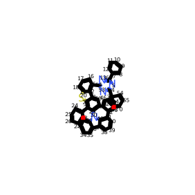 c1ccc(-c2nc(-c3ccccc3)nc(-c3cccc4sc5c(-c6ccccc6)c(-n6c7ccccc7c7cccc(-c8ccccc8)c76)ccc5c34)n2)cc1